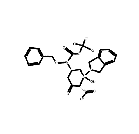 O=C([O-])[C@@H]1C(=O)C[C@@H](N(OCc2ccccc2)C(=O)OC(Cl)(Cl)Cl)C[N+]1(O)N1Cc2ccccc2C1